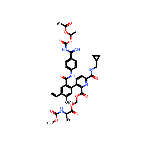 C=Cc1cc(C(=O)Nc2ccc(C(=N)NC(=O)OC(C)OC(=O)C(C)C)cc2)c(-c2ccc(C(=O)NCC3CC3)nc2C(=O)OCOC(=O)C(NC(=O)OC(C)(C)C)C(C)C)cc1OC